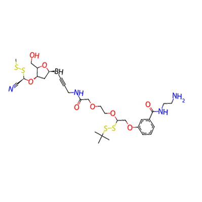 CSS[C@H](C#N)O[C@@H]1C[C@H](BC#CCNC(=O)COCCOC(COc2cccc(C(=O)NCCN)c2)SSC(C)(C)C)OC1CO